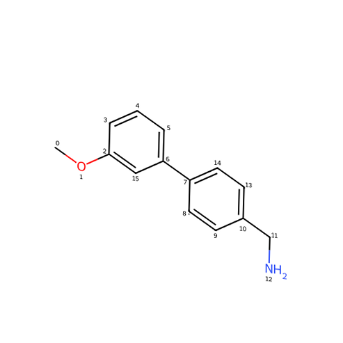 COc1cccc(-c2[c]cc(CN)cc2)c1